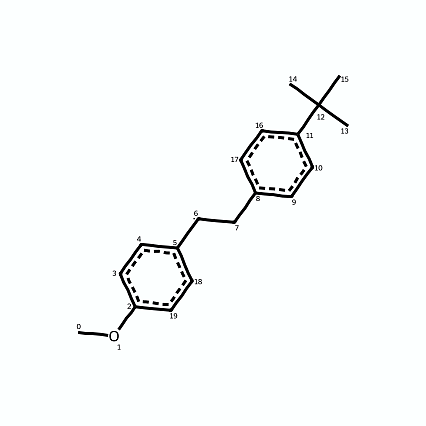 COc1ccc([CH]Cc2ccc(C(C)(C)C)cc2)cc1